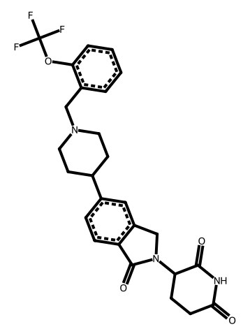 O=C1CCC(N2Cc3cc(C4CCN(Cc5ccccc5OC(F)(F)F)CC4)ccc3C2=O)C(=O)N1